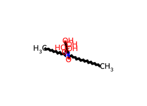 CCCCCCCCCCCCCCCCCC(=O)N(CCCCCCCCCCCC)CC(=O)[C@@H](O)[C@@H](O)[C@H](O)CO